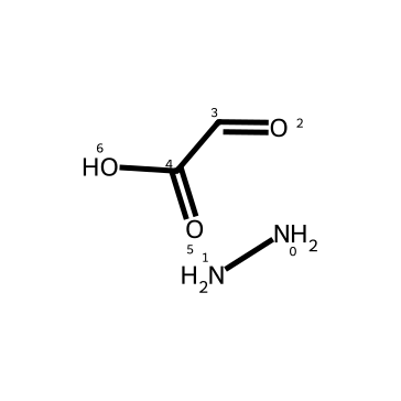 NN.O=CC(=O)O